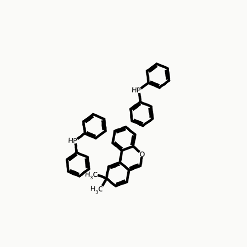 CC1(C)C=CC2=COc3ccccc3C2=C1.c1ccc(Pc2ccccc2)cc1.c1ccc(Pc2ccccc2)cc1